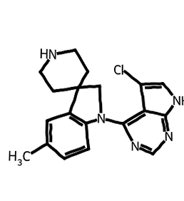 Cc1ccc2c(c1)C1(CCNCC1)CN2c1ncnc2[nH]cc(Cl)c12